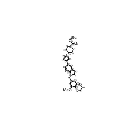 COc1cc(Cn2cnc3cc(-c4cnn(C5CCN(C(=O)OC(C)(C)C)CC5)c4)cnc32)cc2c1OCCO2